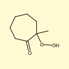 CC1(OO)CCCCCC1=O